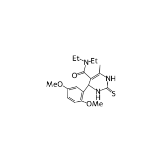 CCN(CC)C(=O)C1=C(C)NC(=S)NC1c1cc(OC)ccc1OC